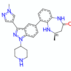 C[C@@H]1CC(=O)Nc2cccc(-c3ccc4c(c3)c(-c3cnn(C)c3)nn4C3CCNCC3)c2N1